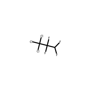 F[C](F)C(F)(F)C(Cl)(Cl)Cl